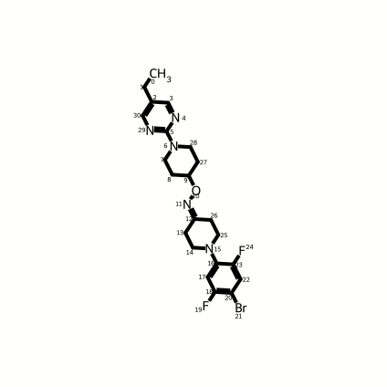 CCc1cnc(N2CCC(ON=C3CCN(c4cc(F)c(Br)cc4F)CC3)CC2)nc1